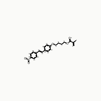 C=C(C)C(=O)OCCCCOc1ccc(C=Cc2ccc([N+](=O)[O-])cc2)cc1